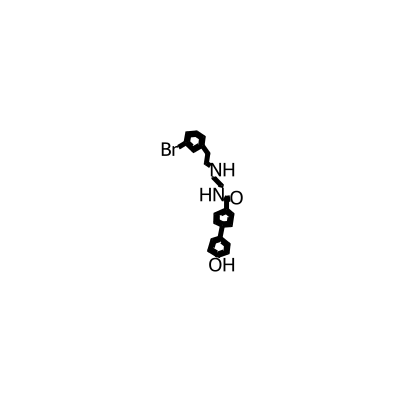 O=C(NCCNCCc1cccc(Br)c1)c1ccc(-c2ccc(O)cc2)cc1